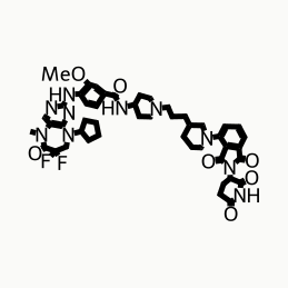 COc1cc(C(=O)NC2CCN(CCCC3CCCN(c4cccc5c4C(=O)N(C4CCC(=O)NC4=O)C5=O)C3)CC2)ccc1Nc1ncc2c(n1)N(C1CCCC1)CC(F)(F)C(=O)N2C